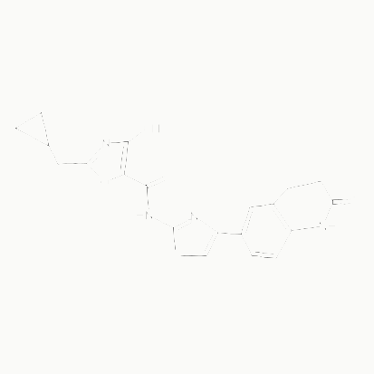 Cc1nc(CC2CC2)oc1C(=O)Nc1nc(-c2ccc3c(c2)CCC(=O)N3)cs1